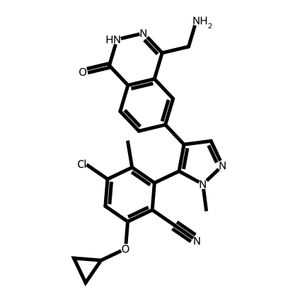 Cc1c(Cl)cc(OC2CC2)c(C#N)c1-c1c(-c2ccc3c(=O)[nH]nc(CN)c3c2)cnn1C